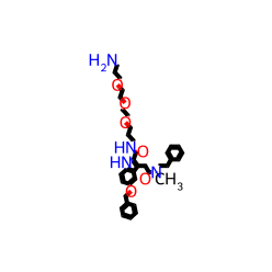 CN(CCc1ccccc1)C(=O)Cc1c(C(=O)NCCCOCCOCCOCCCN)[nH]c2ccc(OCc3ccccc3)cc12